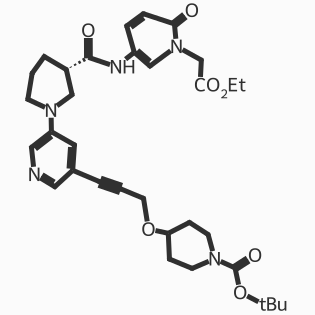 CCOC(=O)Cn1cc(NC(=O)[C@H]2CCCN(c3cncc(C#CCOC4CCN(C(=O)OC(C)(C)C)CC4)c3)C2)ccc1=O